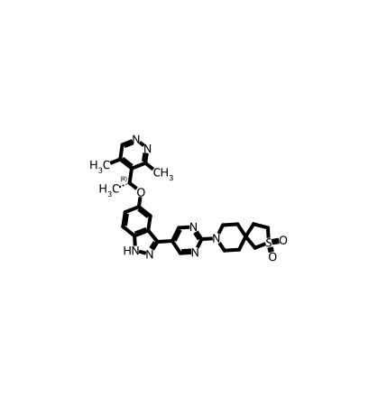 Cc1cnnc(C)c1[C@@H](C)Oc1ccc2[nH]nc(-c3cnc(N4CCC5(CC4)CCS(=O)(=O)C5)nc3)c2c1